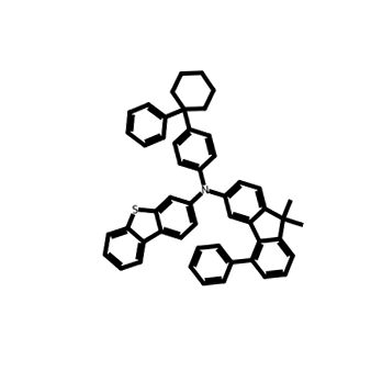 CC1(C)c2ccc(N(c3ccc(C4(c5ccccc5)CCCCC4)cc3)c3ccc4c(c3)sc3ccccc34)cc2-c2c(-c3ccccc3)cccc21